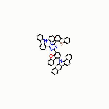 c1ccc(-n2c3ccccc3c3cccc(-c4nc(-c5ccc(-n6c7cc8ccccc8cc7c7ccc8ccccc8c76)c6c5oc5ccccc56)nc(-c5cccc6c5sc5ccccc56)n4)c32)cc1